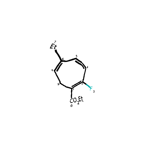 CCOC(=O)C1=C(F)C=CC(CC)=CC1